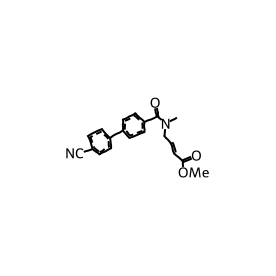 COC(=O)C=CCN(C)C(=O)c1ccc(-c2ccc(C#N)cc2)cc1